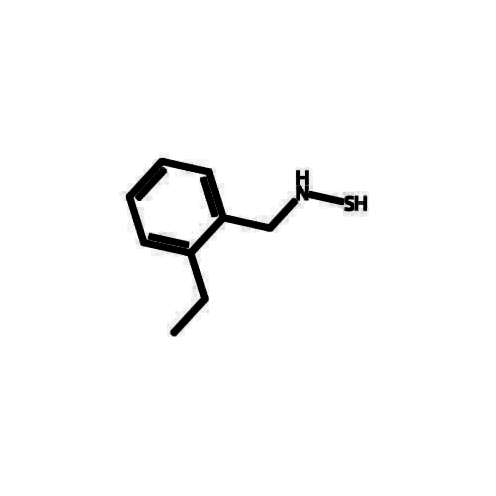 CCc1ccccc1CNS